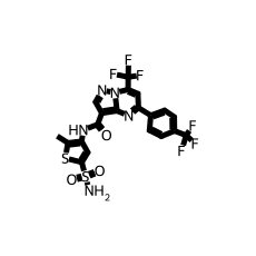 Cc1sc(S(N)(=O)=O)cc1NC(=O)c1cnn2c(C(F)(F)F)cc(-c3ccc(C(F)(F)F)cc3)nc12